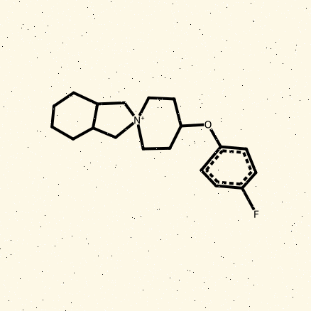 Fc1ccc(OC2CC[N+]3(CC2)CC2CCCCC2C3)cc1